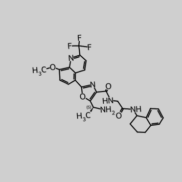 COc1ccc(-c2nc(C(=O)NCC(=O)NC3CCCc4ccccc43)c([C@H](C)N)o2)c2ccc(C(F)(F)F)nc12